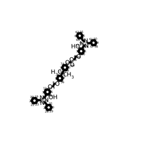 CC(C)(c1ccc(OCCOc2ccc(-c3nc(-c4ccccc4)nc(-c4ccccc4)n3)c(O)c2)cc1)c1ccc(OC(=O)OCCOc2ccc(-c3nc(-c4ccccc4)nc(-c4ccccc4)n3)c(O)c2)cc1